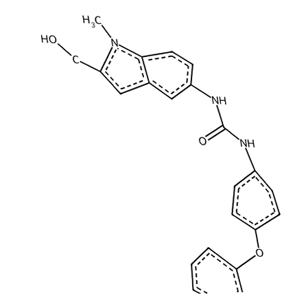 Cn1c(CO)cc2cc(NC(=O)Nc3ccc(Oc4ccccc4)cc3)ccc21